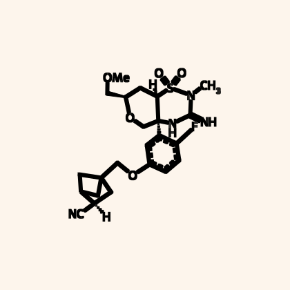 COC[C@H]1C[C@@H]2[C@](c3cc(OCC45CC(C4)[C@H](C#N)C5)ccc3F)(CO1)NC(=N)N(C)S2(=O)=O